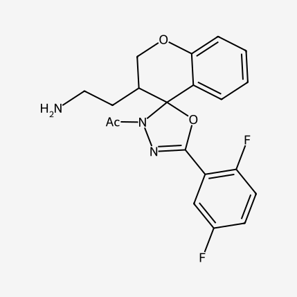 CC(=O)N1N=C(c2cc(F)ccc2F)OC12c1ccccc1OCC2CCN